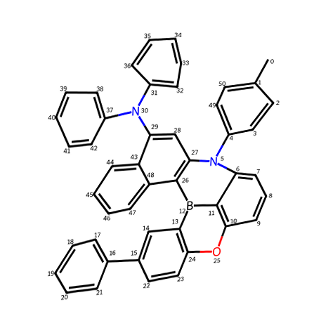 Cc1ccc(N2c3cccc4c3B(c3cc(-c5ccccc5)ccc3O4)c3c2cc(N(c2ccccc2)c2ccccc2)c2ccccc32)cc1